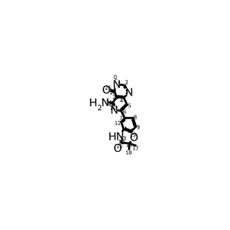 Cn1cnc2cc(-c3ccc4c(c3)NC(=O)C(C)(C)O4)nc(N)c2c1=O